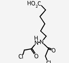 O=C(O)CCCCCN(NC(=O)CCl)C(=O)CCl